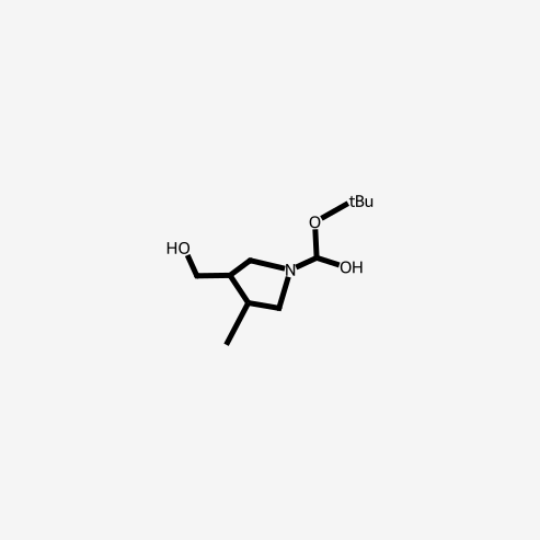 CC1CN(C(O)OC(C)(C)C)CC1CO